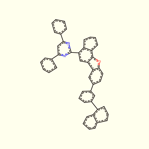 c1ccc(-c2cc(-c3ccccc3)nc(-c3cc4c5cc(-c6cccc(-c7cccc8ccccc78)c6)ccc5oc4c4ccccc34)n2)cc1